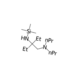 CCCN(CCC)CC(CC)(CC)N[Si](C)(C)C